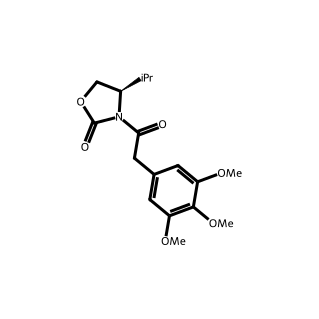 COc1cc(CC(=O)N2C(=O)OC[C@H]2C(C)C)cc(OC)c1OC